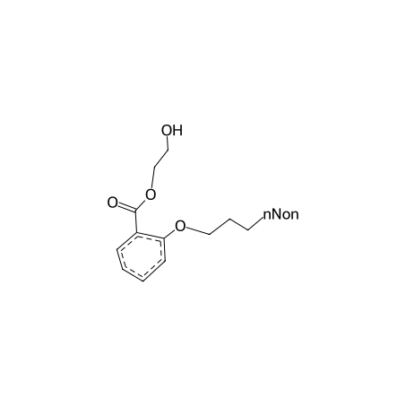 CCCCCCCCCCCCOc1ccccc1C(=O)OCCO